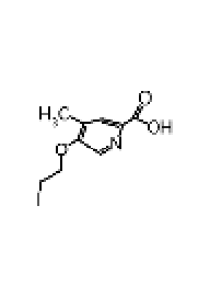 Cc1cc(C(=O)O)ncc1OCCI